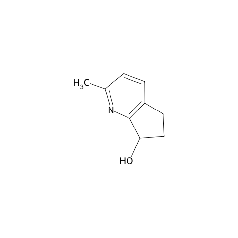 Cc1ccc2c(n1)C(O)CC2